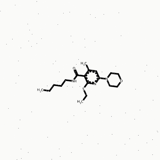 CCCCCNC(=O)c1c(C)cc(N2CCOCC2)nc1SCC